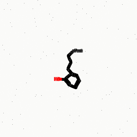 CCCCCCCCc1c[c]ccc1O